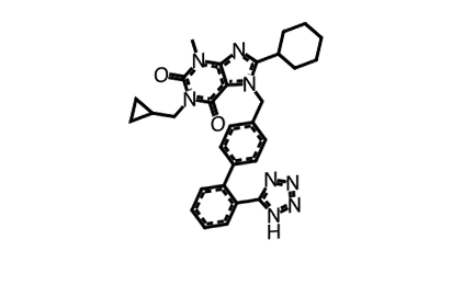 Cn1c(=O)n(CC2CC2)c(=O)c2c1nc(C1CCCCC1)n2Cc1ccc(-c2ccccc2-c2nnn[nH]2)cc1